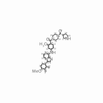 COc1ccc(-c2cnc3c(Nc4ccc(C(=O)N5CCN(C(=O)[C@@H]6CCNC6)CC5)c(C)c4)nccn23)c(F)c1F